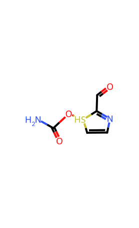 NC(=O)O[SH]1C=CN=C1C=O